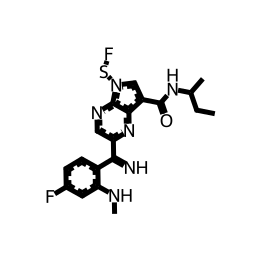 CCC(C)NC(=O)c1cn(SF)c2ncc(C(=N)c3ccc(F)cc3NC)nc12